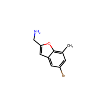 Cc1cc(Br)cc2cc(CN)oc12